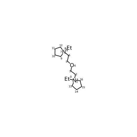 CC[N+]1(CCOCC[N+]2(CC)CCCC2)CCCC1